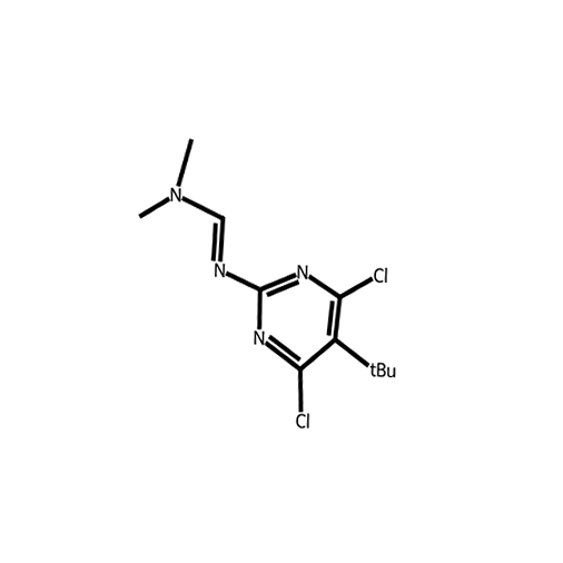 CN(C)/C=N/c1nc(Cl)c(C(C)(C)C)c(Cl)n1